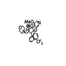 COc1cncc2c1C1(O)C(O)C(CN3CCOCC3)C(c3ccccc3)C1(c1ccc(C(F)(F)F)cc1)O2